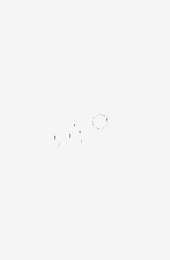 COC(NC(=O)CC(C)=O)c1ccccc1